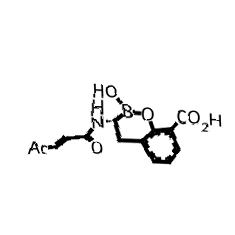 CC(=O)/C=C/C(=O)N[C@H]1Cc2cccc(C(=O)O)c2OB1O